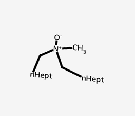 CCCCCCCC[N+](C)([O-])CCCCCCCC